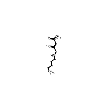 CCCCCNCC(=O)CC(C)=O